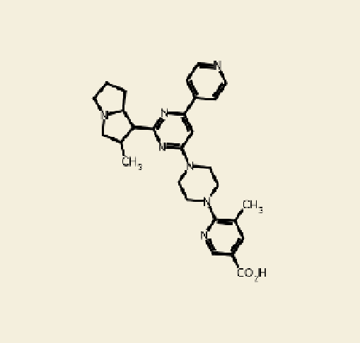 Cc1cc(C(=O)O)cnc1N1CCN(c2cc(-c3ccncc3)nc(C3C(C)CN4CCCC34)n2)CC1